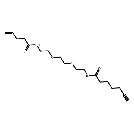 C#CCCCCC(=O)NCCOCCOCCNC(=O)CCC=C